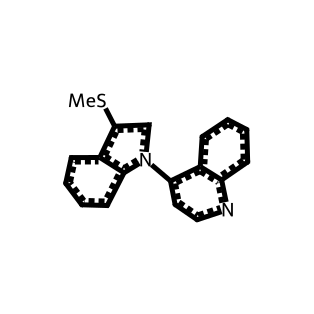 CSc1cn(-c2ccnc3ccccc23)c2ccccc12